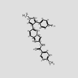 Cc1ncc(C(=O)Nc2cn3nc(-c4cn(C)nc4-c4ccc(F)cc4)ccc3n2)cn1